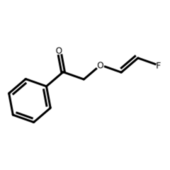 O=C(COC=CF)c1ccccc1